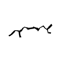 C=CC(=C)CCCCCC(=C)C=C